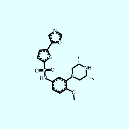 COc1ccc(NS(=O)(=O)c2ccc(-c3cnco3)s2)cc1N1C[C@@H](C)N[C@@H](C)C1